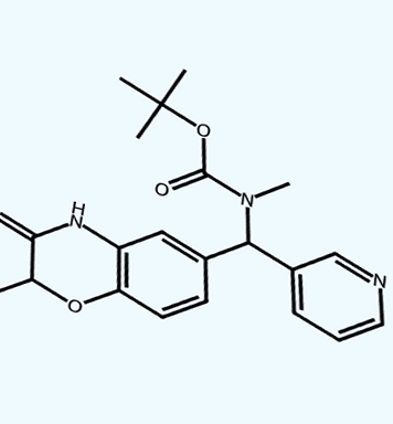 CC1Oc2ccc(C(c3cccnc3)N(C)C(=O)OC(C)(C)C)cc2NC1=O